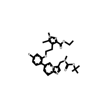 CCOC(=O)c1nn(C)c(C)c1CCOc1cc(F)ccc1-c1ccc2ncc(CN(C)C(=O)OC(C)(C)C)n2c1